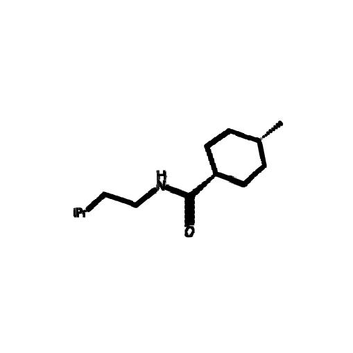 CC(C)CCNC(=O)[C@H]1CC[C@H](C)CC1